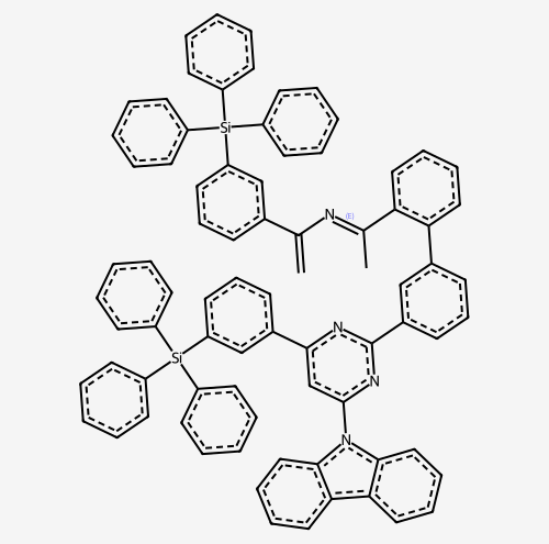 C=C(/N=C(\C)c1ccccc1-c1cccc(-c2nc(-c3cccc([Si](c4ccccc4)(c4ccccc4)c4ccccc4)c3)cc(-n3c4ccccc4c4ccccc43)n2)c1)c1cccc([Si](c2ccccc2)(c2ccccc2)c2ccccc2)c1